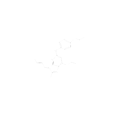 CCCCn1c(C)nc2c(OCC)nc(Nc3ccc(OCC)cc3)nc21